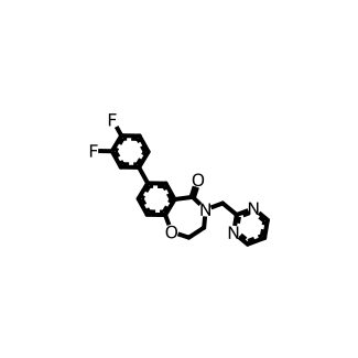 O=C1c2cc(-c3ccc(F)c(F)c3)ccc2OCCN1Cc1ncccn1